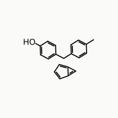 Cc1ccc(Cc2ccc(O)cc2)cc1.c1cc2cc-2c1